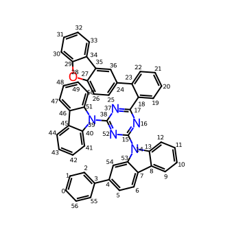 c1ccc(-c2ccc3c4ccccc4n(-c4nc(-c5ccccc5-c5ccc6oc7ccccc7c6c5)nc(-n5c6ccccc6c6ccccc65)n4)c3c2)cc1